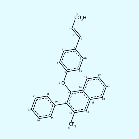 O=C(O)/C=C/c1ccc(Oc2c(-c3ccccc3)c(C(F)(F)F)cc3ccccc23)cc1